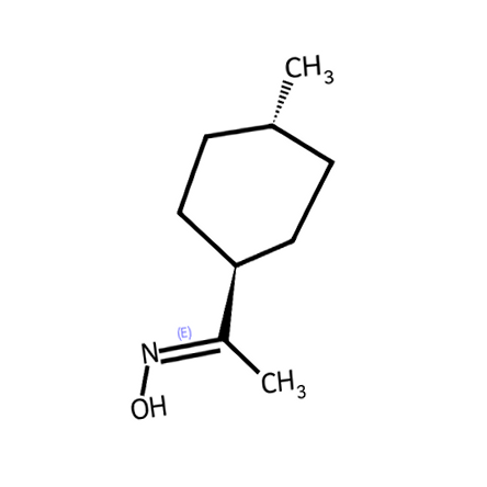 C/C(=N\O)[C@H]1CC[C@H](C)CC1